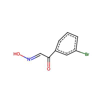 O=C(C=NO)c1cccc(Br)c1